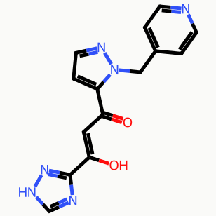 O=C(C=C(O)c1nc[nH]n1)c1ccnn1Cc1ccncc1